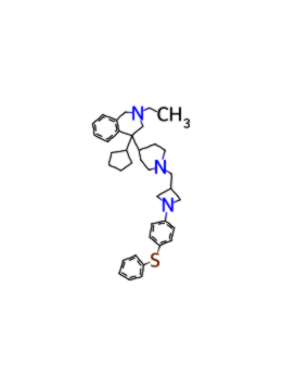 CCN1Cc2ccccc2C(C2CCCC2)(C2CCN(CC3CN(c4ccc(Sc5ccccc5)cc4)C3)CC2)C1